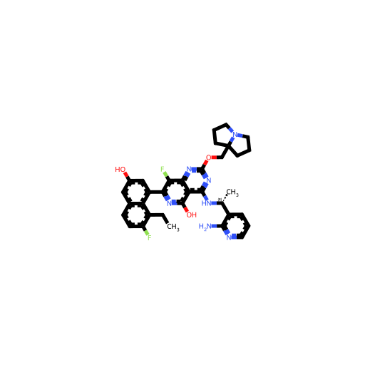 CCc1c(F)ccc2cc(O)cc(-c3nc(O)c4c(N[C@H](C)c5cccnc5N)nc(OCC56CCCN5CCC6)nc4c3F)c12